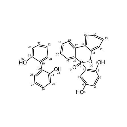 O=P1(c2cc(O)ccc2O)Oc2ccccc2-c2ccccc21.Oc1ccccc1-c1ccccc1O